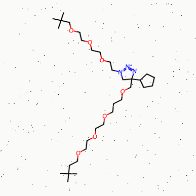 CC(C)(C)CCOCCOCCOCCCOCC1(C2CCCC2)C[N+](CCOCCOCCOCC(C)(C)C)=[N+]=N1